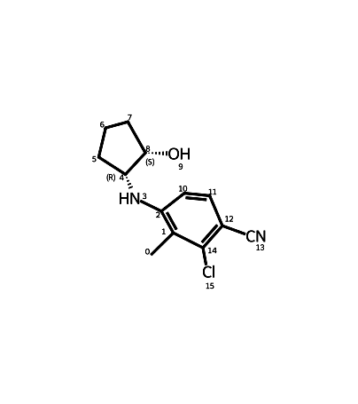 Cc1c(N[C@@H]2CCC[C@@H]2O)ccc(C#N)c1Cl